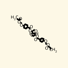 C=CC(=O)OCOc1ccc(C(=O)O[C@H]2CO[C@H]3[C@@H]2OC[C@H]3OC(=O)c2ccc(OCOC(=O)C=C)cc2)cc1